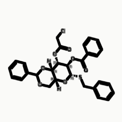 O=C(CCl)O[C@H]1[C@H]2OC(c3ccccc3)OC[C@H]2O[C@@H](SCc2ccccc2)[C@@H]1OC(=O)c1ccccc1